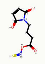 O=C(CCCN1C(=O)C=CC1=O)ON=S